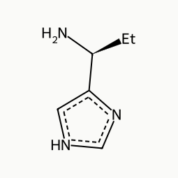 CC[C@H](N)c1c[nH]cn1